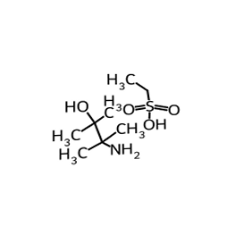 CC(C)(N)C(C)(C)O.CCS(=O)(=O)O